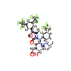 CC(C)C(c1ccc(C(F)(F)F)cc1CN1C(=O)O[C@@H](c2cc(C(F)(F)F)cc(C(F)(F)F)c2)[C@H]1C)N1CCC(CO)CC1